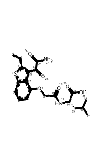 CCc1sc2cccc(OCC(=O)N[C@@H](CC(C)C)C(=O)O)c2c1C(=O)C(N)=O